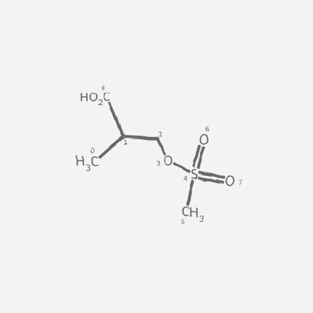 CC(COS(C)(=O)=O)C(=O)O